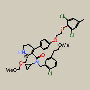 COCCc1ccc(Cl)c(CN(C(=O)C2=C(c3ccc(OCCOc4c(Cl)cc(C)cc4Cl)cc3)CCN[C@@H]2COCOC)C2CC2)c1